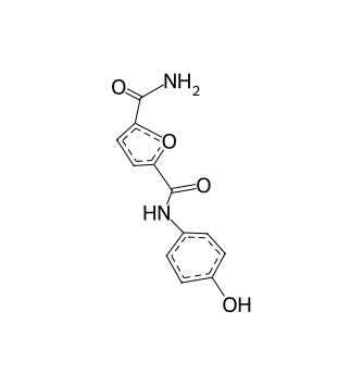 NC(=O)c1ccc(C(=O)Nc2ccc(O)cc2)o1